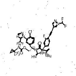 C=C(C(C)(C)C)[C@]1(c2ccc(C#Cc3cnn(C(F)F)c3)c(F)c2)NC(=N)N([C@H](COC(=O)NC2(C(F)(F)F)CC2)c2ccc(Cl)c(-n3ncnc3C(F)F)c2)C1=O